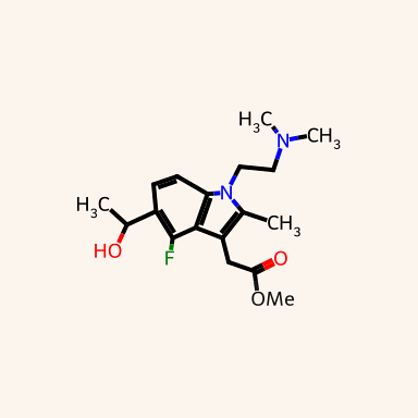 COC(=O)Cc1c(C)n(CCN(C)C)c2ccc(C(C)O)c(F)c12